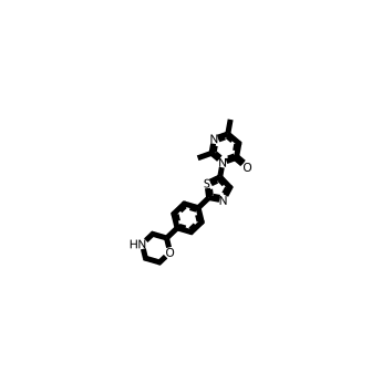 Cc1cc(=O)n(-c2cnc(-c3ccc(C4CNCCO4)cc3)s2)c(C)n1